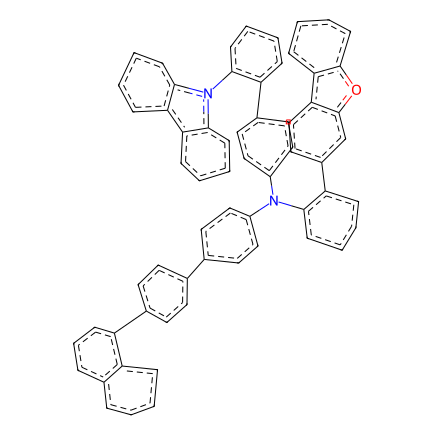 c1ccc(N(c2ccc(-c3ccc(-c4cccc5ccccc45)cc3)cc2)c2ccc(-c3ccccc3-n3c4ccccc4c4ccccc43)cc2)c(-c2ccc3c(c2)oc2ccccc23)c1